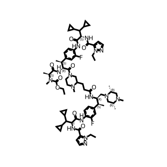 CCOC(=O)N(C)[C@@H](C)C(=O)N[C@@H](C(=O)N1CCN(C)C(CCC(=O)N[C@@H](CN2C[C@@H](C)N(C)C[C@H]2C)[C@@H](C)c2ccc(NC(=O)[C@@H](NC(=O)c3ccnn3CC)C(C3CC3)C3CC3)c(F)c2)C1)[C@@H](C)c1ccc(NC(=O)[C@@H](NC(=O)c2ccnn2CC)C(C2CC2)C2CC2)c(F)c1